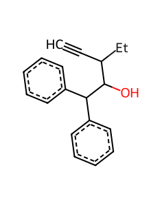 C#CC(CC)C(O)C(c1ccccc1)c1ccccc1